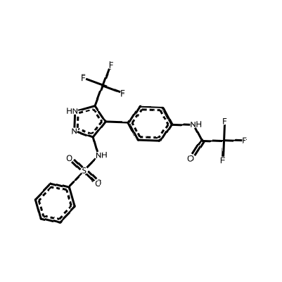 O=C(Nc1ccc(-c2c(NS(=O)(=O)c3ccccc3)n[nH]c2C(F)(F)F)cc1)C(F)(F)F